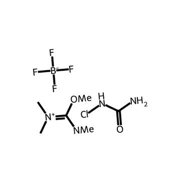 CNC(OC)=[N+](C)C.F[B-](F)(F)F.NC(=O)NCl